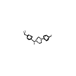 C[C@@H](c1ccc(CCl)cc1)N1CCN(c2ccc(F)cc2)CC1